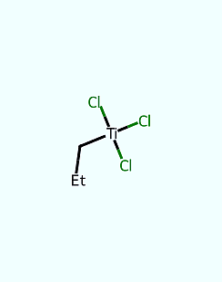 CC[CH2][Ti]([Cl])([Cl])[Cl]